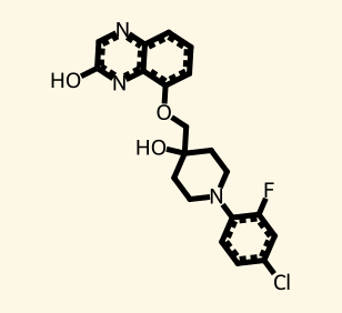 Oc1cnc2cccc(OCC3(O)CCN(c4ccc(Cl)cc4F)CC3)c2n1